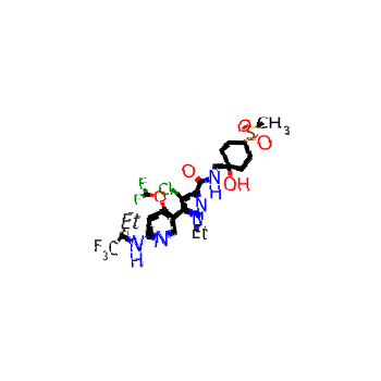 CC[C@H](Nc1cc(OC(F)F)c(-c2c(Cl)c(C(=O)NCC3(O)CCC(S(C)(=O)=O)CC3)nn2CC)cn1)C(F)(F)F